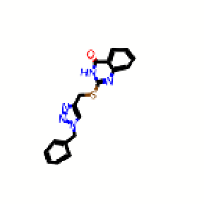 O=c1[nH]c(SCc2cn(Cc3ccccc3)nn2)nc2ccccc12